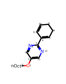 CCCCCCCCOc1cnc(C2=CCCC=[C]2)nc1